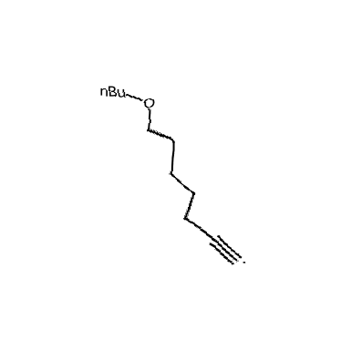 [C]#CCCCCCOCCCC